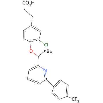 CCCCC(Oc1ccc(CCC(=O)O)cc1Cl)c1cccc(-c2ccc(C(F)(F)F)cc2)n1